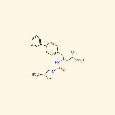 CC(CC(Cc1ccc(-c2ccccc2)cc1)NC(=O)N1CC[C@@H](C(=O)O)C1)C(=O)O